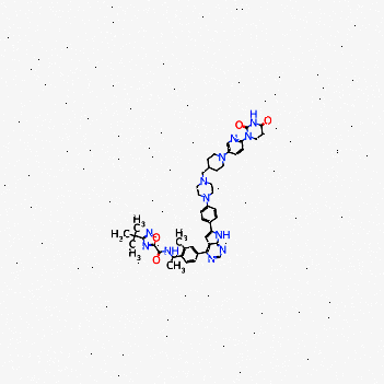 Cc1cc(-c2ncnc3[nH]c(-c4ccc(N5CCN(CC6CCN(c7ccc(N8CCC(=O)NC8=O)nc7)CC6)CC5)cc4)cc23)ccc1[C@@H](C)NC(=O)c1nc(C(C)(C)C)no1